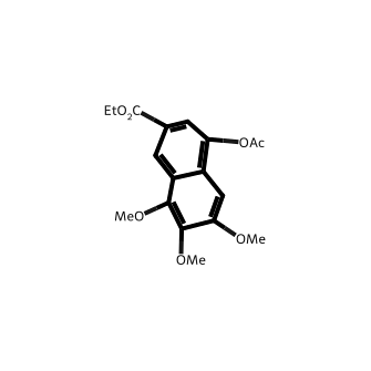 CCOC(=O)c1cc(OC(C)=O)c2cc(OC)c(OC)c(OC)c2c1